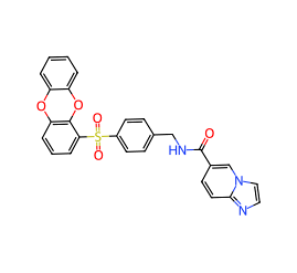 O=C(NCc1ccc(S(=O)(=O)c2cccc3c2Oc2ccccc2O3)cc1)c1ccc2nccn2c1